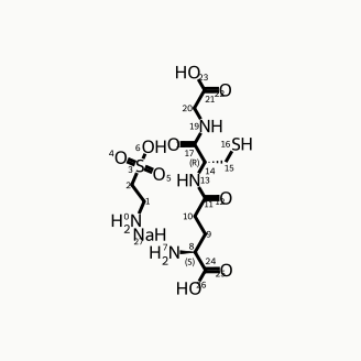 NCCS(=O)(=O)O.N[C@@H](CCC(=O)N[C@@H](CS)C(=O)NCC(=O)O)C(=O)O.[NaH]